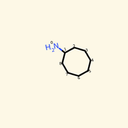 NC1C[CH]CCCCC1